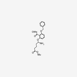 COC(=O)c1c(OCc2ccccc2)cccc1OC(N)CCCC(=O)OC(C)(C)C